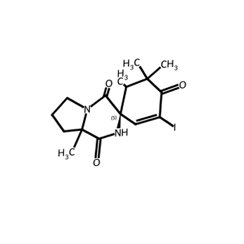 CC1C(C)(C)C(=O)C(I)=C[C@@]12NC(=O)C1(C)CCCN1C2=O